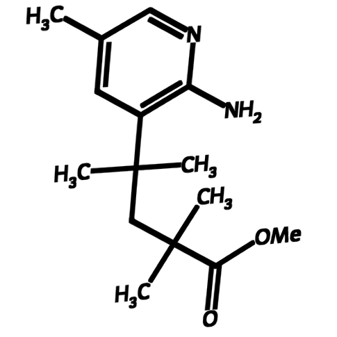 COC(=O)C(C)(C)CC(C)(C)c1cc(C)cnc1N